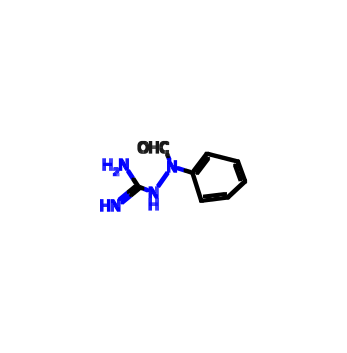 N=C(N)NN(C=O)c1ccccc1